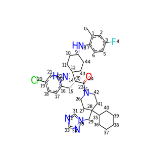 Cc1cc(F)ccc1N[C@H]1CC[C@](N)([C@@H](Cc2ccc(Cl)cc2)C(=O)N2CCC(Cn3cncn3)(C3CCCCC3)CC2)CC1